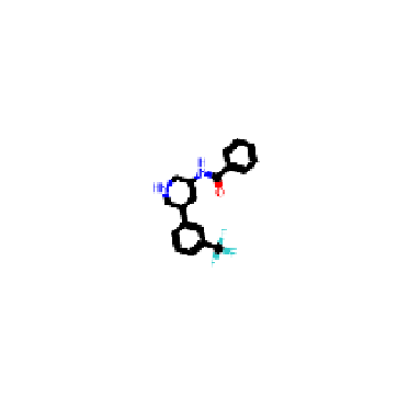 O=C(NC1CNCC(c2cccc(C(F)(F)F)c2)C1)c1ccccc1